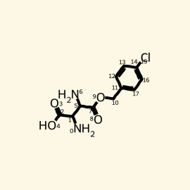 NC(C(=O)O)C(N)C(=O)OCc1ccc(Cl)cc1